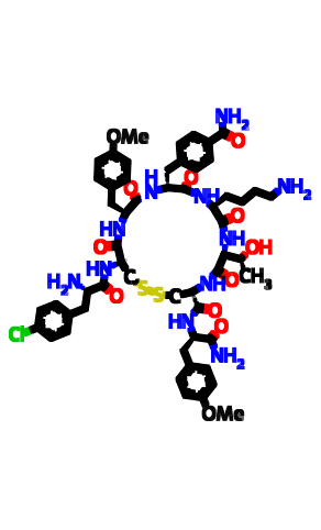 COc1ccc(C[C@@H]2NC(=O)[C@H](NC(=O)[C@@H](N)Cc3ccc(Cl)cc3)CSSC[C@@H](C(=O)N[C@H](Cc3ccc(OC)cc3)C(N)=O)NC(=O)[C@H]([C@@H](C)O)NC(=O)[C@H](CCCCN)NC(=O)[C@@H](Cc3ccc(C(N)=O)cc3)NC2=O)cc1